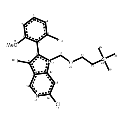 COc1cccc(F)c1-c1c(I)c2cnc(Cl)cc2n1COCC[Si](C)(C)C